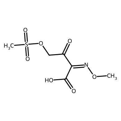 CON=C(C(=O)O)C(=O)COS(C)(=O)=O